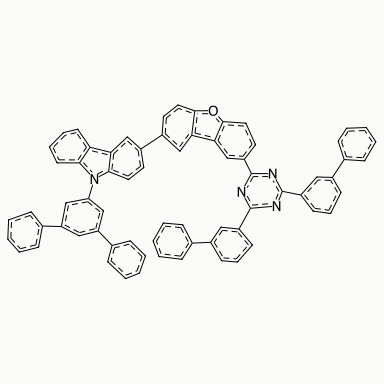 c1ccc(-c2cccc(-c3nc(-c4cccc(-c5ccccc5)c4)nc(-c4ccc5oc6ccc(-c7ccc8c(c7)c7ccccc7n8-c7cc(-c8ccccc8)cc(-c8ccccc8)c7)cc6c5c4)n3)c2)cc1